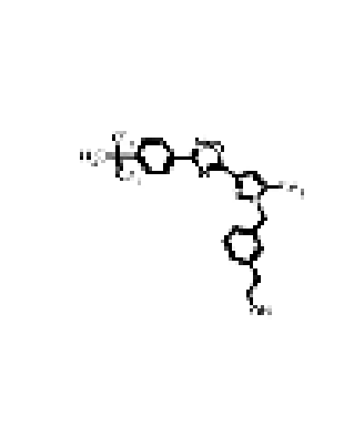 Cc1cc(-c2nc(-c3ccc(C(C)(C)C(F)(F)F)cc3)no2)nn1Cc1cccc(CCO)c1